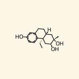 CC[C@@]12C[C@H](O)[C@@](C)(O)C[C@H]1CCc1cc(O)ccc12